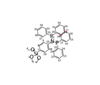 CO[Si](OC)(OC)c1ccc(N(P(c2ccccc2)c2ccccc2)P(c2ccccc2)c2ccccc2)cc1